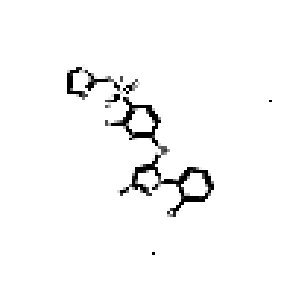 Cc1cc(Nc2ccc(S(=O)(=O)Nc3nccs3)c(F)c2)n(-c2ccccc2Cl)n1